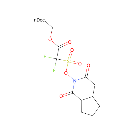 CCCCCCCCCCCOC(=O)C(F)(F)S(=O)(=O)ON1C(=O)CC2CCCC2C1=O